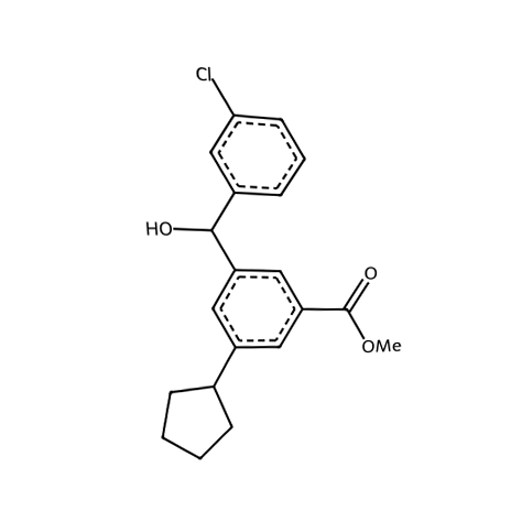 COC(=O)c1cc(C2CCCC2)cc(C(O)c2cccc(Cl)c2)c1